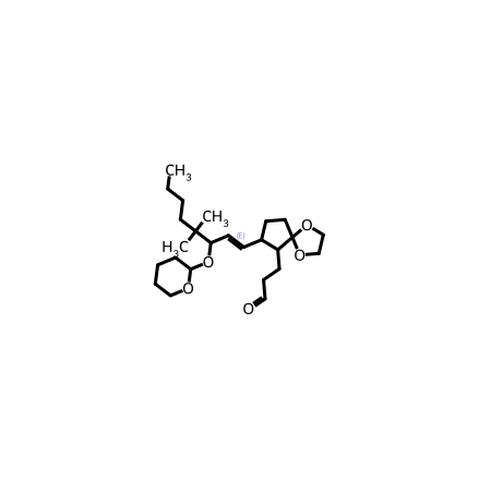 CCCCC(C)(C)C(/C=C/C1CCC2(OCCO2)C1CCC=O)OC1CCCCO1